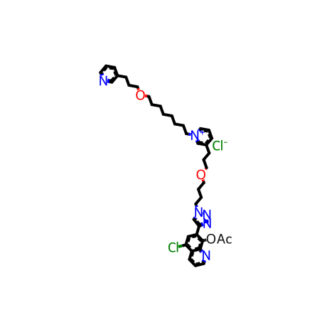 CC(=O)Oc1c(-c2cn(CCCCOCCCc3ccc[n+](CCCCCCCCOCCCc4cccnc4)c3)nn2)cc(Cl)c2cccnc12.[Cl-]